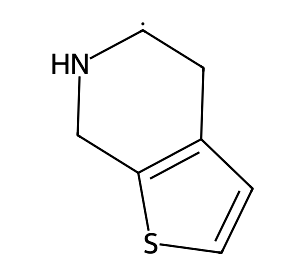 [CH]1Cc2ccsc2CN1